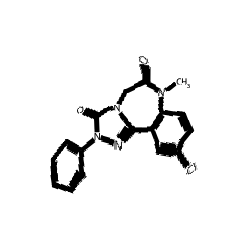 CN1C(=O)Cn2c(nn(-c3ccccc3)c2=O)-c2cc(Cl)ccc21